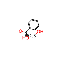 O=S(=O)(O)O.OB(O)c1ccccc1